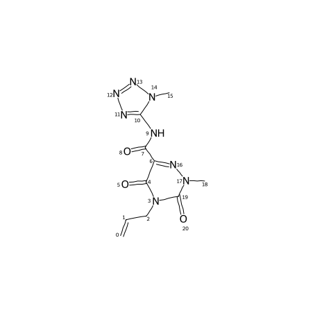 C=CCn1c(=O)c(C(=O)Nc2nnnn2C)nn(C)c1=O